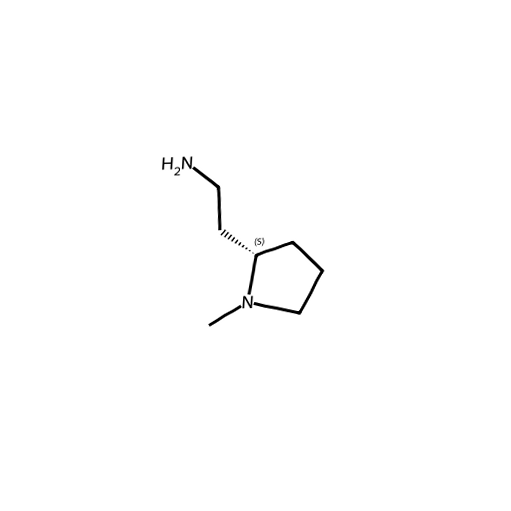 CN1CCC[C@H]1CCN